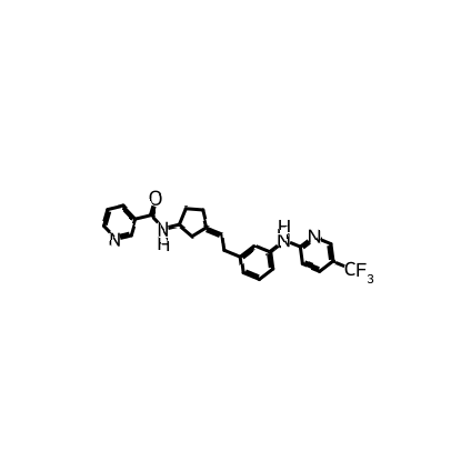 O=C(NC1CCC(=CCc2cccc(Nc3ccc(C(F)(F)F)cn3)c2)C1)c1cccnc1